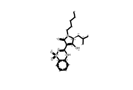 CCCCCN1C(=O)C(C2=NS(=O)(=O)c3ccccc3N2)=C(O)[C@@H]1CC(C)C